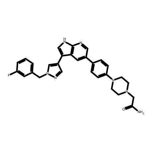 NC(=O)CN1CCN(c2ccc(-c3cnc4[nH]cc(-c5cnn(Cc6cccc(F)c6)c5)c4c3)cc2)CC1